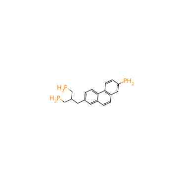 PCC(CP)Cc1ccc2c(ccc3cc(P)ccc32)c1